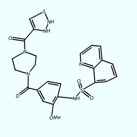 COc1cc(C(=O)N2CCN(C(=O)C3=CSNN3)CC2)ccc1NS(=O)(=O)c1cccc2cccnc12